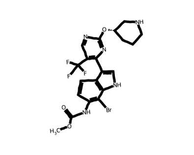 COC(=O)Nc1ccc2c(-c3nc(O[C@H]4CCCNC4)ncc3C(F)(F)F)c[nH]c2c1Br